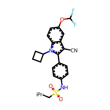 CC(C)CS(=O)(=O)Nc1ccc(-c2c(C#N)c3cc(OC(F)F)ccc3n2C2CCC2)cc1